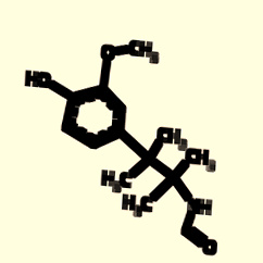 COc1cc(C(C)(C)C(C)(C)NC=O)ccc1O